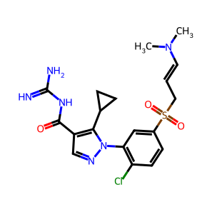 CN(C)C=CCS(=O)(=O)c1ccc(Cl)c(-n2ncc(C(=O)NC(=N)N)c2C2CC2)c1